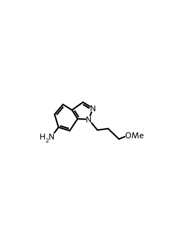 COCCCn1ncc2ccc(N)cc21